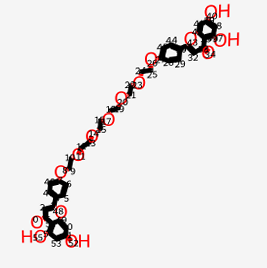 O=c1cc(-c2ccc(OCCOCCOCCOCCOCCOCCOc3ccc(-c4cc(=O)c5c(O)cc(O)cc5o4)cc3)cc2)oc2cc(O)cc(O)c12